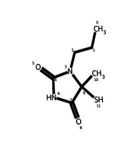 CCCN1C(=O)NC(=O)C1(C)S